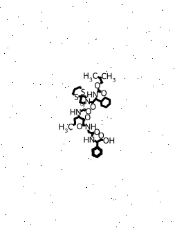 CCCC(NC(=O)[C@@H]1CC2(CN1C(=O)C(NC(=O)OCC(C)C)C1CCCCC1)SCCCS2)C(=O)C(=O)NCC(=O)NC(C(=O)O)c1ccccc1